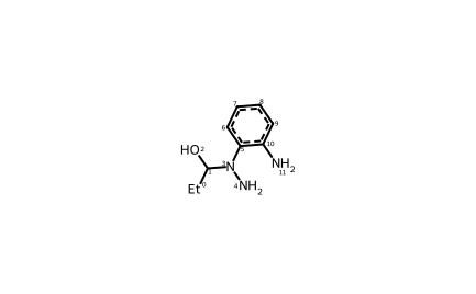 CCC(O)N(N)c1ccccc1N